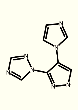 C1=C(n2ccnc2)C(n2cncn2)=N[N]1